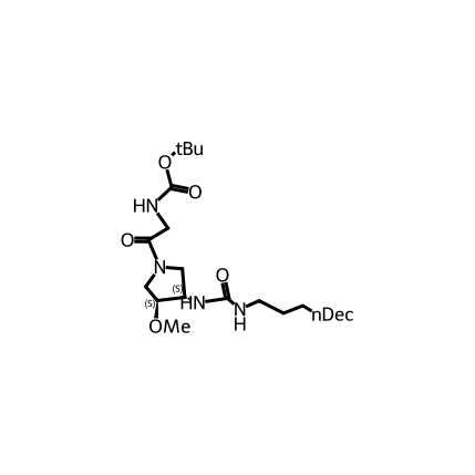 CCCCCCCCCCCCCNC(=O)N[C@H]1CN(C(=O)CNC(=O)OC(C)(C)C)C[C@@H]1OC